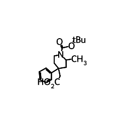 CC1CC(CC(=O)O)(c2ccccc2)CCN1C(=O)OC(C)(C)C